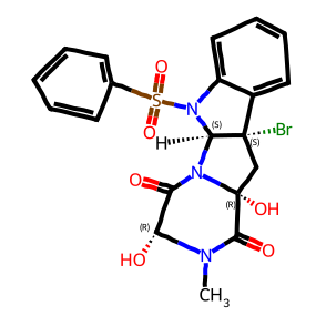 CN1C(=O)[C@]2(O)C[C@]3(Br)c4ccccc4N(S(=O)(=O)c4ccccc4)[C@@H]3N2C(=O)[C@H]1O